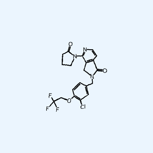 O=C1c2ccnc(N3CCCC3=O)c2CN1Cc1ccc(OCC(F)(F)F)c(Cl)c1